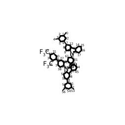 Cc1cc(C)cc(-c2ccc3c(c2)c2ccccc2n3-c2ccc(C#N)c(-c3cc(-c4ccc(C(F)(F)F)cc4C(F)(F)F)ccc3-n3c4ccccc4c4cc(-c5cc(C)cc(C)c5)ccc43)c2)c1